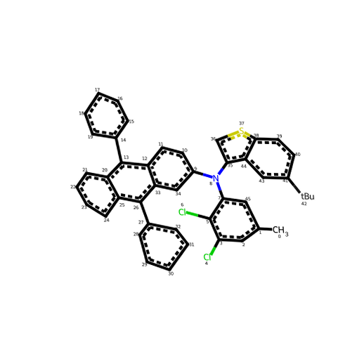 Cc1cc(Cl)c(Cl)c(N(c2ccc3c(-c4ccccc4)c4ccccc4c(-c4ccccc4)c3c2)c2csc3ccc(C(C)(C)C)cc23)c1